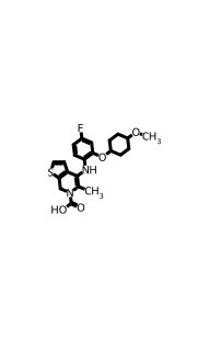 COC1CCC(Oc2cc(F)ccc2NC2=C(C)N(C(=O)O)Cc3sccc32)CC1